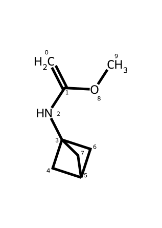 C=C(NC12CC(C1)C2)OC